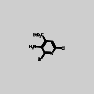 CCOC(=O)c1cc(Cl)nc(Br)c1N